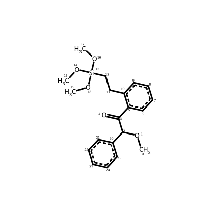 COC(C(=O)c1ccccc1CC[Si](OC)(OC)OC)c1ccccc1